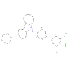 Cc1cc(-c2c(F)c(F)c(F)c(F)c2F)cc(C)c1-n1c2ccccc2c2cc(-c3ccccc3)ccc21